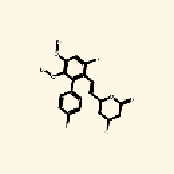 CCOc1cc(C(C)C)c(C=CC2CC(O)CC(=O)O2)c(-c2ccc(F)cc2)c1OCC